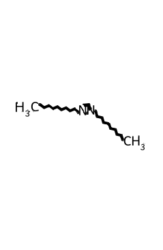 CCCCCCCCCCCn1cc[n+](CCCCCCCCCCC)c1